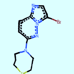 Brc1cnc2ccc(N3CCSCC3)nn12